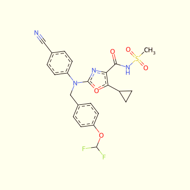 CS(=O)(=O)NC(=O)c1nc(N(Cc2ccc(OC(F)F)cc2)c2ccc(C#N)cc2)oc1C1CC1